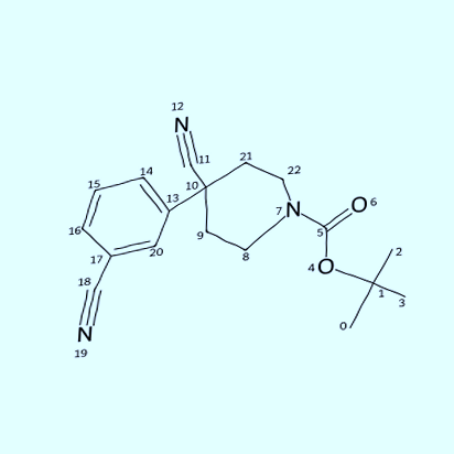 CC(C)(C)OC(=O)N1CCC(C#N)(c2cccc(C#N)c2)CC1